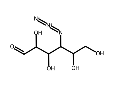 [N-]=[N+]=NC(C(O)CO)C(O)C(O)C=O